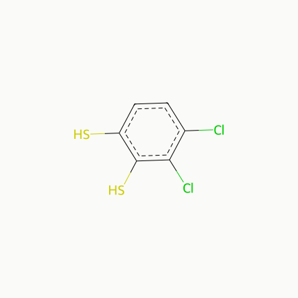 Sc1ccc(Cl)c(Cl)c1S